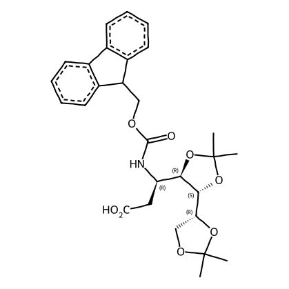 CC1(C)O[C@H]([C@@H](CC(=O)O)NC(=O)OCC2c3ccccc3-c3ccccc32)[C@@H]([C@H]2COC(C)(C)O2)O1